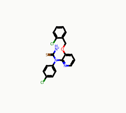 NC(=S)N(c1ccc(Cl)cc1)c1ncccc1OCc1ccccc1Cl